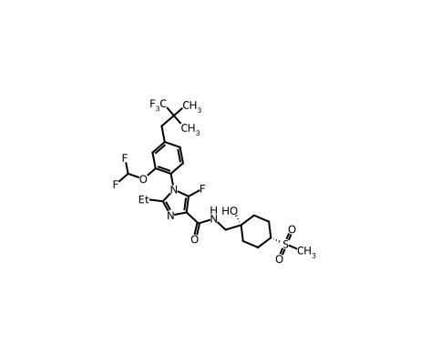 CCc1nc(C(=O)NC[C@]2(O)CC[C@@H](S(C)(=O)=O)CC2)c(F)n1-c1ccc(CC(C)(C)C(F)(F)F)cc1OC(F)F